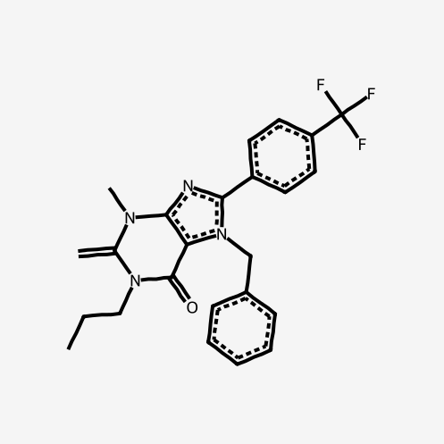 C=C1N(CCC)C(=O)c2c(nc(-c3ccc(C(F)(F)F)cc3)n2Cc2ccccc2)N1C